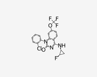 O=c1nc(N[C@H]2C[C@H]2F)c2ccc(OC(F)(F)F)cc2n1-c1ccccc1Cl